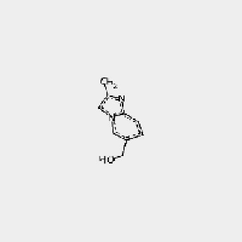 Cc1cn2cc(CO)ccc2n1